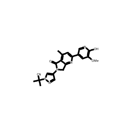 COc1cc(-c2cc(C)c3c(n2)CN(c2cnn(C(C)(C)C#N)c2)C3=O)cnc1O